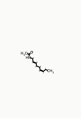 CC/C=C\CC/C=C/CNC(C)=O